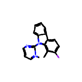 Cc1c(I)ccc2c3ccccc3n(-c3nccc[n+]3C)c12